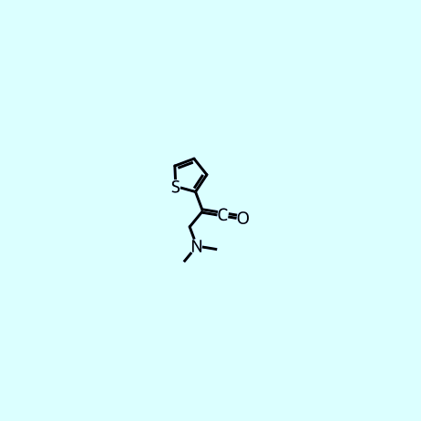 CN(C)CC(=C=O)c1cccs1